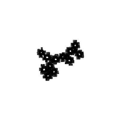 c1ccc(-c2ccc(N(c3ccc(-c4ccc5c(c4)c4ccccc4n5-c4ccc5c6ccccc6n(-c6ccccc6)c5c4)cc3)c3ccc([Si](c4ccccc4)(c4ccccc4)c4ccccc4)cc3)cc2)cc1